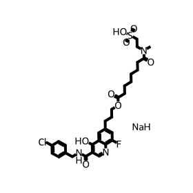 CN(CCS(=O)(=O)O)C(=O)CCCCCCC(=O)OCCCc1cc(F)c2ncc(C(=O)NCc3ccc(Cl)cc3)c(O)c2c1.[NaH]